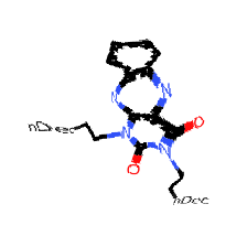 CCCCCCCCCCCCn1c(=O)c2nc3ccccc3nc2n(CCCCCCCCCCCC)c1=O